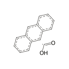 O=[C]O.c1ccc2cc3ccccc3cc2c1